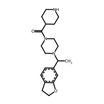 CC(c1ccc2c(c1)OCC2)N1CCN(C(=O)C2CCNCC2)CC1